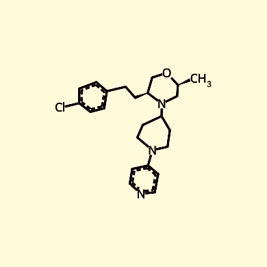 C[C@H]1CN(C2CCN(c3ccncc3)CC2)[C@@H](CCc2ccc(Cl)cc2)CO1